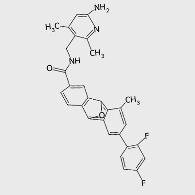 Cc1cc(N)nc(C)c1CNC(=O)c1ccc2c(c1)c1oc2c2cc(-c3ccc(F)cc3F)cc(C)c21